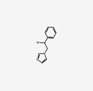 CC(C)C(Cn1ccnc1)c1ccccc1